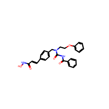 O=C(/C=C/c1ccc(CN(CCOc2ccccc2)C(=O)NC(=O)c2ccccc2)cc1)NO